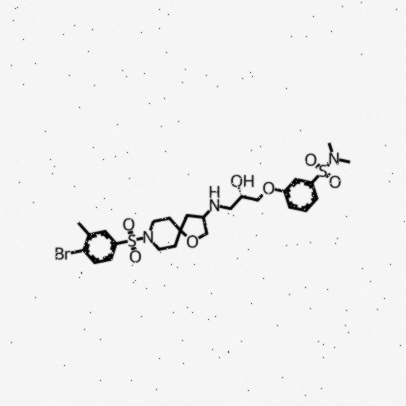 Cc1cc(S(=O)(=O)N2CCC3(CC2)CC(NC[C@H](O)COc2cccc(S(=O)(=O)N(C)C)c2)CO3)ccc1Br